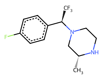 C[C@@H]1CN([C@@H](c2ccc(F)cc2)C(F)(F)F)CCN1